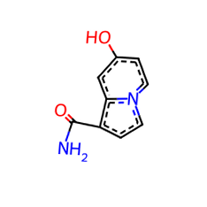 NC(=O)c1ccn2ccc(O)cc12